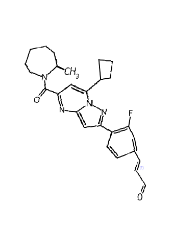 CC1CCCCCN1C(=O)c1cc(C2CCC2)n2nc(-c3ccc(/C=C/C=O)cc3F)cc2n1